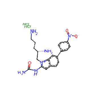 Cl.Cl.NCCC[C@H](N)Cn1c(NC(N)=O)cc2ccc(-c3ccc([N+](=O)[O-])cc3)cc21